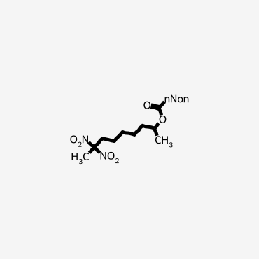 CCCCCCCCCC(=O)OC(C)CCCCCC(C)([N+](=O)[O-])[N+](=O)[O-]